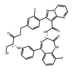 CC(C)C[C@@H](N)C(=O)OCc1ccc(-c2nn3cccnc3c2C(=O)N[C@H]2N=C(c3ccccc3)c3cccc(F)c3NC2=O)c(F)c1